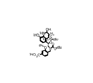 CC(C)Oc1cc(C(=O)O)ccc1CN(C[C@H](O[Si](C)(C)C(C)(C)C)c1ccc(O)c2c1C=CC(O)N2)C(=O)OC(C)(C)C